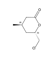 C[C@H]1CC(=O)O[C@H](CCl)C1